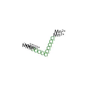 [Cl-].[Cl-].[Cl-].[Cl-].[Cl-].[Cl-].[Cl-].[Cl-].[Cl-].[Cl-].[Mn+2].[Mn+2].[Mn+2].[Mn+2].[Mn+2]